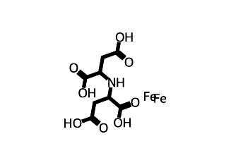 O=C(O)CC(NC(CC(=O)O)C(=O)O)C(=O)O.[Fe].[Fe]